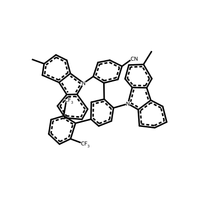 Cc1ccc2c(c1)c1ccccc1n2-c1ccc(C#N)cc1-c1cc(-c2c(C(F)(F)F)cccc2C(F)(F)F)ccc1-n1c2ccccc2c2cc(C)ccc21